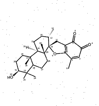 CC1=CC(=O)C(=O)C2=C1O[C@@]1(C2)[C@@H](C)CC[C@@H]2[C@@]3(C)CC[C@H](O)C(C)(C)C3CC[C@]21C